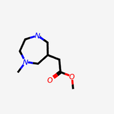 COC(=O)CC1C[N]CCN(C)C1